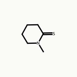 CN1CCCCC1=S